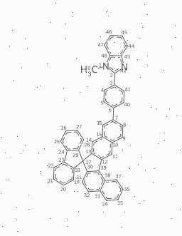 Cn1c(-c2ccc(-c3ccc4cc5c(cc4c3)C3(c4ccccc4-c4ccccc43)c3ccc4ccccc4c3-5)cc2)nc2ccccc21